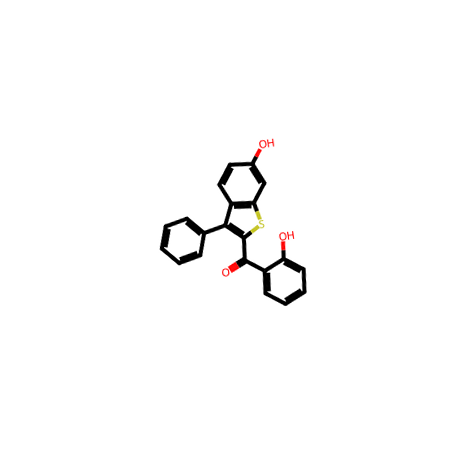 O=C(c1ccccc1O)c1sc2cc(O)ccc2c1-c1ccccc1